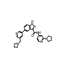 O=C(Nc1ccnc(N2CCCC2)c1)c1n[nH]c2ccc(-c3cncc(CN4CCC4)c3)cc12